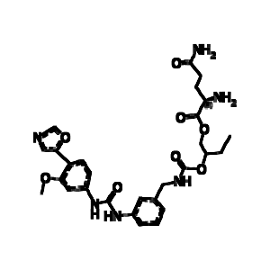 CCC(COC(=O)[C@H](N)CCC(N)=O)OC(=O)NCc1cccc(NC(=O)Nc2ccc(-c3cnco3)c(OC)c2)c1